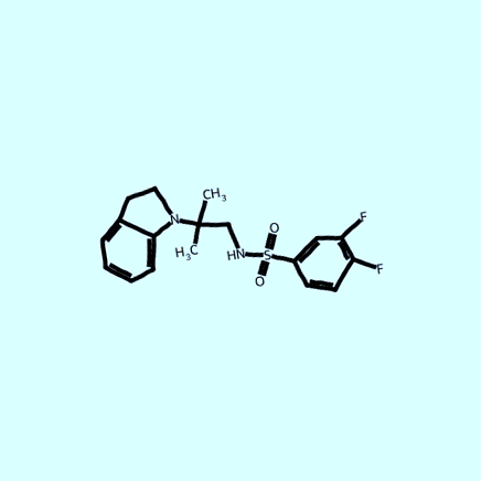 CC(C)(CNS(=O)(=O)c1ccc(F)c(F)c1)N1CCc2ccccc21